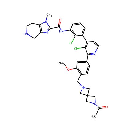 COc1cc(-c2nccc(-c3cccc(NC(=O)c4nc5c(n4C)CCNC5)c3Cl)c2Cl)ccc1CN1CC2(C1)CN(C(C)=O)C2